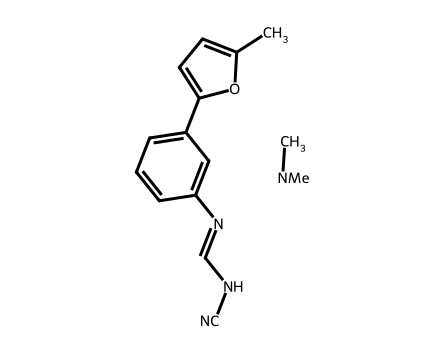 CNC.Cc1ccc(-c2cccc(N=CNC#N)c2)o1